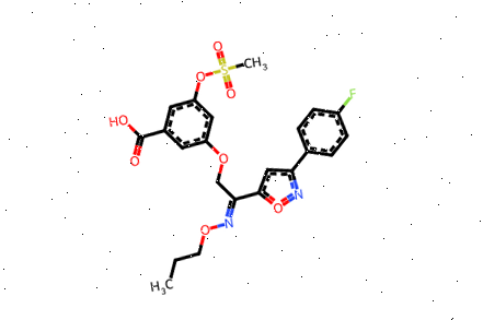 CCCO/N=C(\COc1cc(OS(C)(=O)=O)cc(C(=O)O)c1)c1cc(-c2ccc(F)cc2)no1